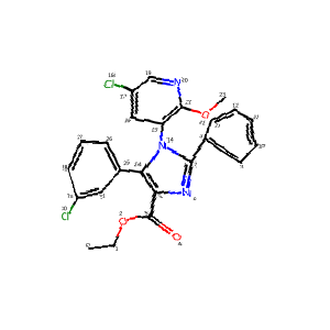 CCOC(=O)c1nc(-c2ccccc2)n(-c2cc(Cl)cnc2OC)c1-c1cccc(Cl)c1